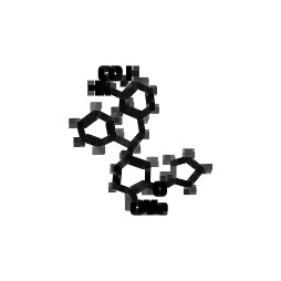 COc1ccc(C(Cc2cccc(NC(=O)O)c2)c2ccccc2)cc1OC1CCCC1